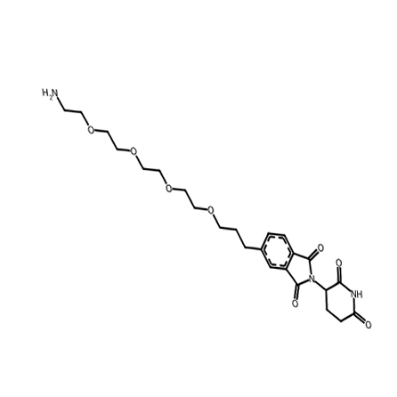 NCCOCCOCCOCCOCCCc1ccc2c(c1)C(=O)N(C1CCC(=O)NC1=O)C2=O